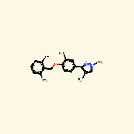 Cc1cc(-c2nn(C)cc2C)ccc1OCc1c(C)cccc1[N+](=O)[O-]